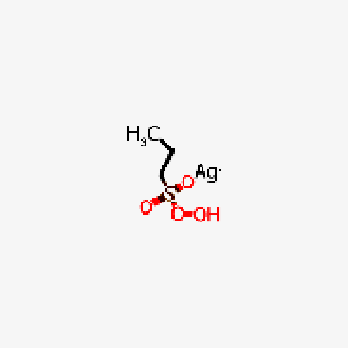 CCCS(=O)(=O)OO.[Ag]